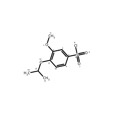 COc1cc(S(=O)(=O)Cl)ccc1OC(C)C